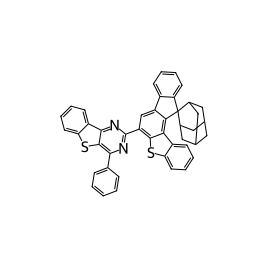 c1ccc(-c2nc(-c3cc4c(c5c3sc3ccccc35)C3(c5ccccc5-4)C4CC5CC(C4)CC3C5)nc3c2sc2ccccc23)cc1